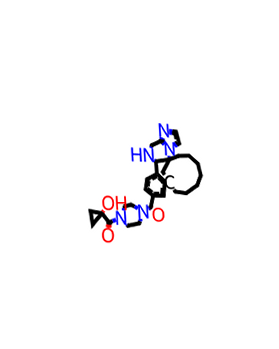 O=C(c1ccc(C2NCc3nccn3C23CCCCCCCCC3)cc1)N1CCN(C(=O)C2(O)CC2)CC1